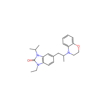 CCn1c(=O)n(C(C)C)c2cc(CC(C)N3CCOc4ccccc43)ccc21